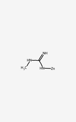 CNC(=N)[NH][Zn]